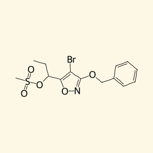 CCC(OS(C)(=O)=O)c1onc(OCc2ccccc2)c1Br